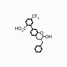 O=C(O)c1ccc(C(F)(F)F)cc1-c1ccc2c(c1)OC(O)[C@@H](Cc1ccccc1)C2